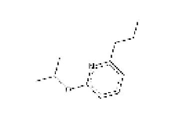 CCCc1cccc(OC(C)C)n1